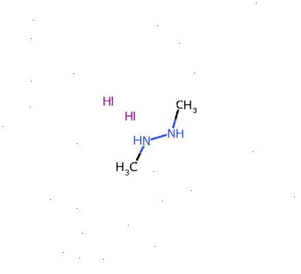 CNNC.I.I